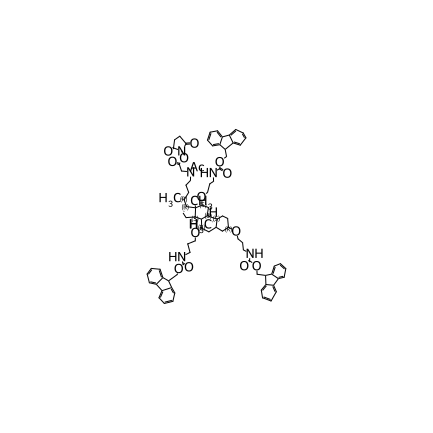 CC(=O)N(CCC[C@@H](C)[C@H]1CC[C@H]2C3[C@H](OCCCNC(=O)OCC4c5ccccc5-c5ccccc54)CC4C[C@H](OCCCNC(=O)OCC5c6ccccc6-c6ccccc65)CC[C@]4(C)[C@H]3C[C@H](OCCCNC(=O)OCC3c4ccccc4-c4ccccc43)C12C)CC(=O)ON1C(=O)CCC1=O